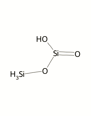 O=[Si](O)O[SiH3]